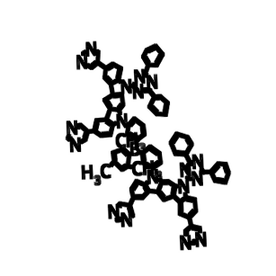 Cc1cc(C)c(B(c2cccc(-n3c4ccc(-c5cncnc5)cc4c4cc5c6cc(-c7cncnc7)ccc6n(-c6nc(-c7ccccc7)nc(-c7ccccc7)n6)c5cc43)c2)c2cccc(-n3c4ccc(-c5cncnc5)cc4c4cc5c6cc(-c7cncnc7)ccc6n(-c6nc(-c7ccccc7)nc(-c7ccccc7)n6)c5cc43)c2)c(C)c1